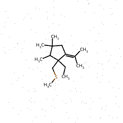 CCC1(CSC)C(=C(C)C)CC(C)(C)C1C